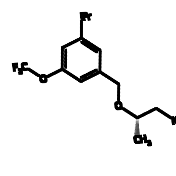 CC(C)c1cc(CO[C@@H](C)CN)cc(OC(F)(F)F)c1